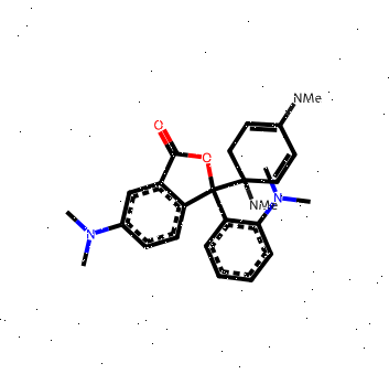 CNC1=CCC(NC)(C2(c3ccccc3N(C)C)OC(=O)c3cc(N(C)C)ccc32)C=C1